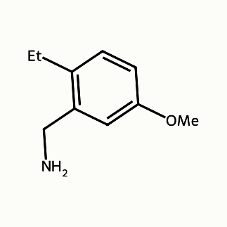 CCc1ccc(OC)cc1CN